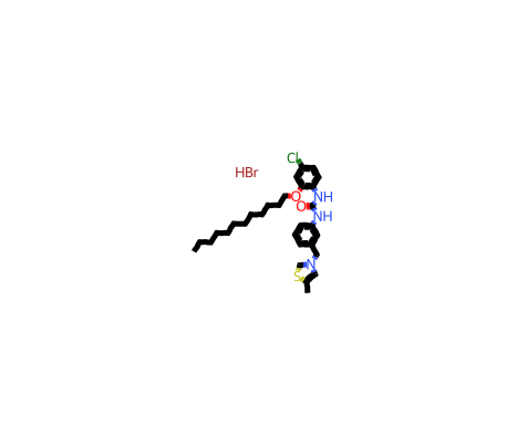 Br.CCCCCCCCCCCCOc1cc(Cl)ccc1NC(=O)Nc1cccc(CN2C=C(C)SC2)c1